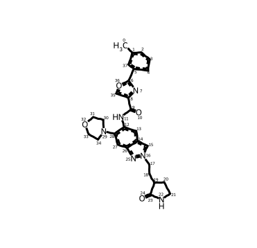 Cc1cccc(-c2nc(C(=O)Nc3cc4cn(CCC5CCNC5=O)nc4cc3N3CCOCC3)co2)c1